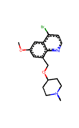 COc1cc(COC2CCN(C)CC2)c2nccc(Br)c2c1